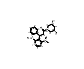 COc1ncnc(N(C)C)c1C(CC(=O)N1C[C@H](C)C[C@H](C)C1)c1ccccc1